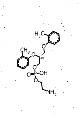 Cc1ccccc1OC[C@H](COP(=O)(O)OCCN)Oc1ccccc1C